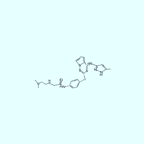 Cc1cc(Nc2nc(Sc3ccc(NC(=O)CNCCN(C)C)cc3)nn3cccc23)n[nH]1